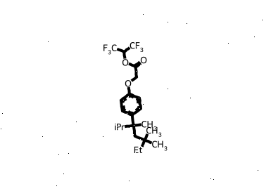 CCC(C)(C)CC(C)(c1ccc(OCC(=O)OC(C(F)(F)F)C(F)(F)F)cc1)C(C)C